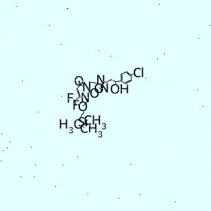 C[Si](C)(C)CCOCn1c(C(F)F)cc(=O)n(Cc2nc(CC(O)c3ccc(Cl)cc3)no2)c1=O